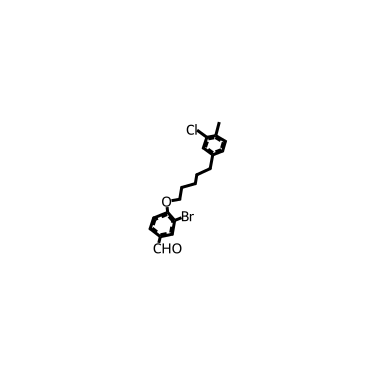 Cc1ccc(CCCCCOc2ccc(C=O)cc2Br)cc1Cl